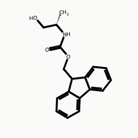 C[C@@H](CO)NC(=O)OCC1c2ccccc2-c2ccccc21